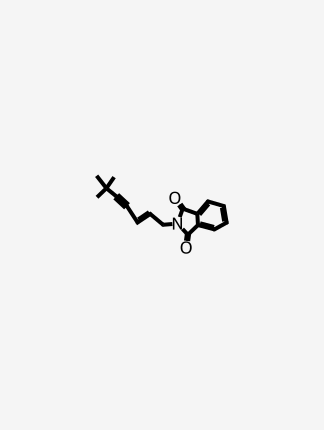 CC(C)(C)C#C/C=C/CN1C(=O)c2ccccc2C1=O